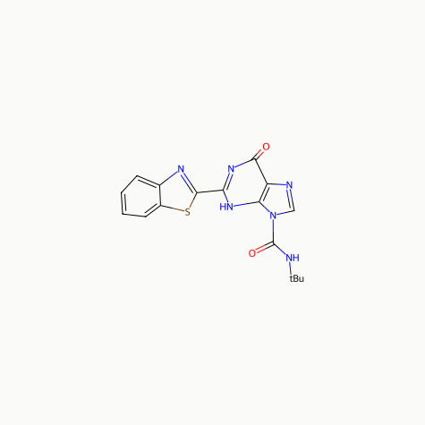 CC(C)(C)NC(=O)n1cnc2c(=O)nc(-c3nc4ccccc4s3)[nH]c21